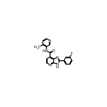 Cc1ccncc1NC(=O)c1ccnc2[nH]c(-c3cccc(F)c3)nc12